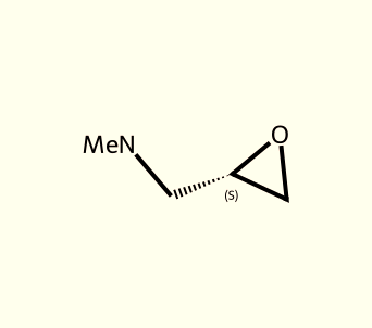 CNC[C@H]1CO1